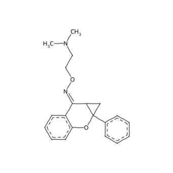 CN(C)CCON=C1c2ccccc2OC2(c3ccccc3)CC12